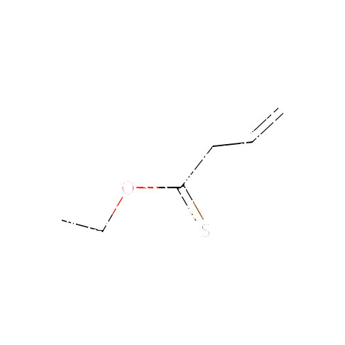 C=CCC(=S)OCC